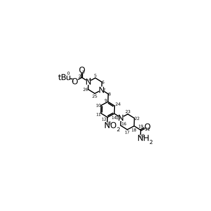 CC(C)(C)OC(=O)N1CCN(Cc2ccc([N+](=O)[O-])c(N3CCC(C(N)=O)CC3)c2)CC1